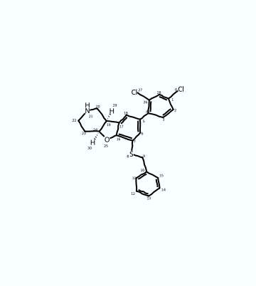 Clc1ccc(-c2cc(SCc3ccccc3)c3c(c2)[C@@H]2CNCC[C@@H]2O3)c(Cl)c1